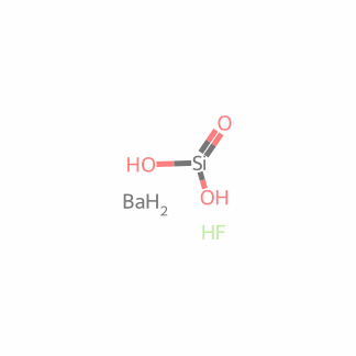 F.O=[Si](O)O.[BaH2]